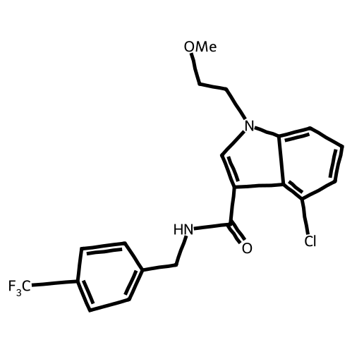 COCCn1cc(C(=O)NCc2ccc(C(F)(F)F)cc2)c2c(Cl)cccc21